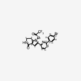 O=C1NCCc2c1cc(-c1ccnc(-c3ccc(Br)cc3)n1)n2OC(=O)C(F)(F)F